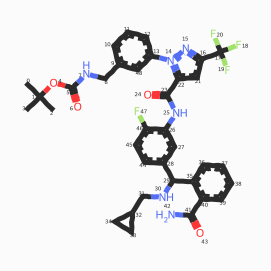 CC(C)(C)OC(=O)NCc1cccc(-n2nc(C(F)(F)F)cc2C(=O)Nc2cc(C(NCC3CC3)c3ccccc3C(N)=O)ccc2F)c1